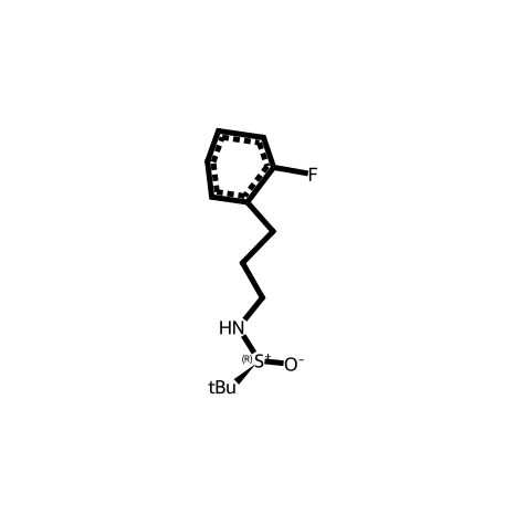 CC(C)(C)[S@+]([O-])NCCCc1ccccc1F